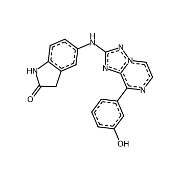 O=C1Cc2cc(Nc3nc4c(-c5cccc(O)c5)nccn4n3)ccc2N1